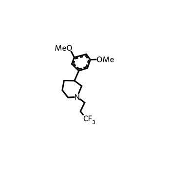 COc1cc(OC)cc(C2CCCN(CCC(F)(F)F)C2)c1